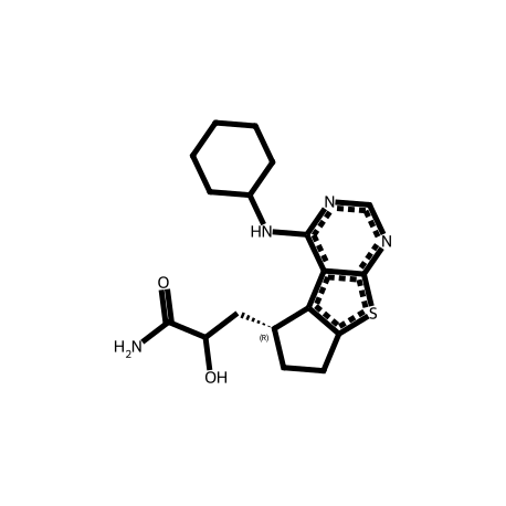 NC(=O)C(O)C[C@H]1CCc2sc3ncnc(NC4CCCCC4)c3c21